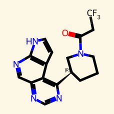 O=C(CC(F)(F)F)N1CCC[C@@H](c2ncnc3cnc4[nH]ccc4c23)C1